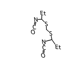 CCC(N=C=O)SCSC(CC)N=C=O